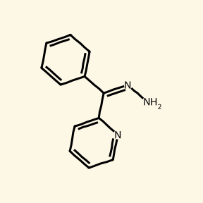 NN=C(c1ccccc1)c1ccccn1